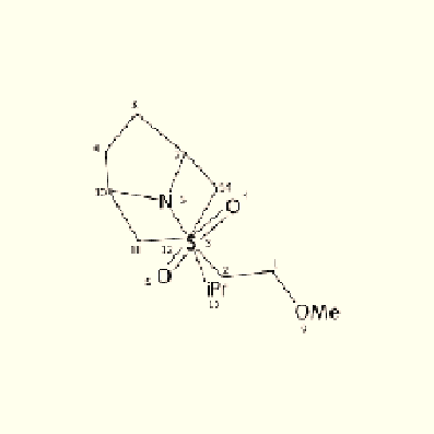 COCCS(=O)(=O)N1C2CCC1CC(C(C)C)C2